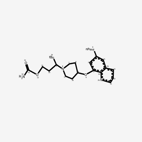 CCCCCc1cc(OC2CCN(C(CCOC(N)=O)C(C)(C)C)CC2)c2ncccc2c1